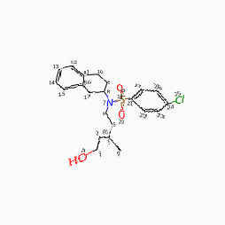 C[C@@H](CCO)CCN(C1CCc2ccccc2C1)S(=O)(=O)c1ccc(Cl)cc1